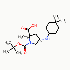 CC1(C)CCC(N[C@@H]2CN(C(=O)OC(C)(C)C)[C@@](C)(C(=O)O)C2)CC1